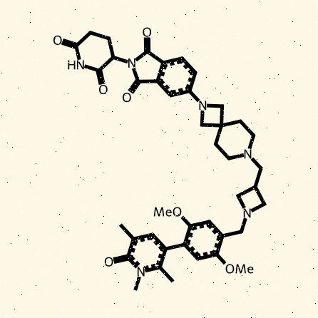 COc1cc(-c2cc(C)c(=O)n(C)c2C)c(OC)cc1CN1CC(CN2CCC3(CC2)CN(c2ccc4c(c2)C(=O)N(C2CCC(=O)NC2=O)C4=O)C3)C1